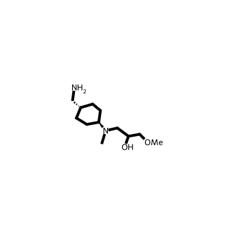 COCC(O)CN(C)[C@H]1CC[C@H](CN)CC1